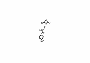 O=C(Cc1ccc([N+](=O)[O-])cc1)NCCCN1C(=O)CCC1=O